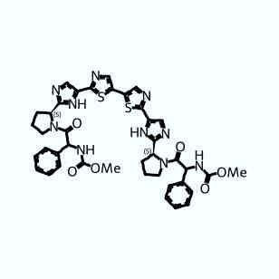 COC(=O)NC(C(=O)N1CCC[C@H]1c1ncc(-c2ncc(-c3cnc(-c4cnc([C@@H]5CCCN5C(=O)C(NC(=O)OC)c5ccccc5)[nH]4)s3)s2)[nH]1)c1ccccc1